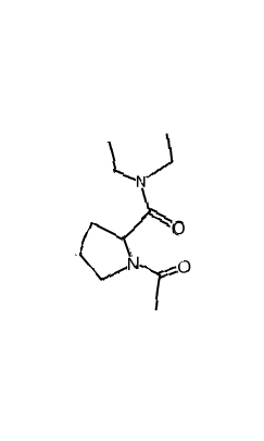 CCN(CC)C(=O)C1C[CH]CN1C(C)=O